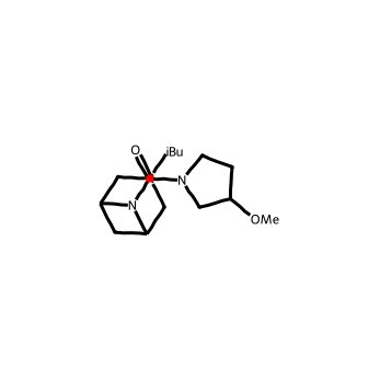 CCC(C)N1CC2CC(C1)N2C(=O)N1CCC(OC)C1